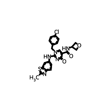 Cc1nc2ccc(Nc3nc(=O)c(C(=O)NC4COC4)cn3Cc3ccc(Cl)cc3)cc2s1